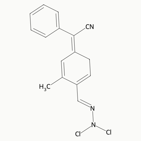 CC1=CC(=C(C#N)c2ccccc2)CC=C1C=NN(Cl)Cl